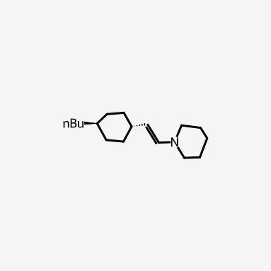 CCCC[C@H]1CC[C@H](C=CN2CCCCC2)CC1